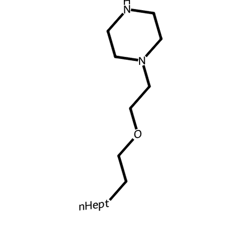 CCCCCCCCCOCCN1CCNCC1